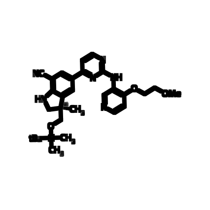 COCCOc1ccncc1Nc1nccc(-c2cc(C#N)c3c(c2)[C@@](C)(CO[Si](C)(C)C(C)(C)C)CN3)n1